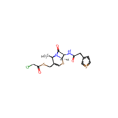 O=C(Cc1ccsc1)NC1C(=O)N2C(C(=O)O)C(CSC(=O)CCl)=CS[C@H]12